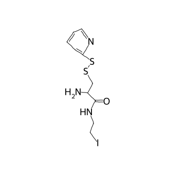 NC(CSSc1ccccn1)C(=O)NCCI